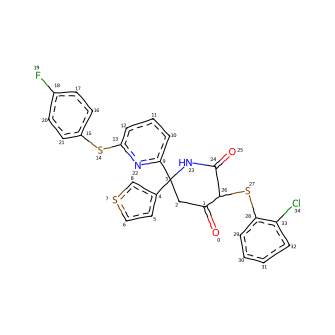 O=C1CC(c2ccsc2)(c2cccc(Sc3ccc(F)cc3)n2)NC(=O)C1Sc1ccccc1Cl